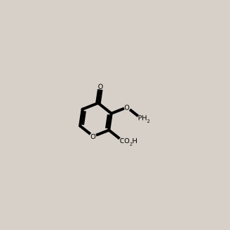 O=C(O)c1occc(=O)c1OP